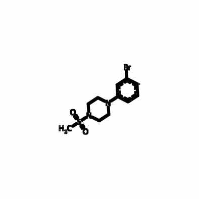 CS(=O)(=O)N1CCN(c2cc[c]c(Br)c2)CC1